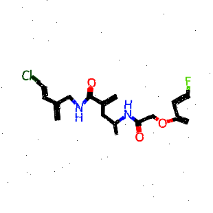 C=C(/C=C/Cl)CNC(=O)C(=C)CC(C)NC(=O)COC(=C)/C=C/F